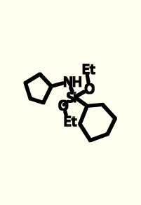 CCO[Si](NC1CCCC1)(OCC)C1CCCCC1